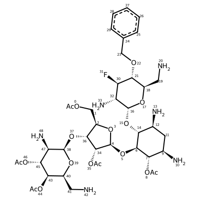 CC(=O)OC[C@H]1O[C@@H](O[C@@H]2[C@@H](OC(C)=O)[C@H](N)C[C@H](N)[C@H]2O[C@H]2O[C@H](CN)[C@@H](OCc3ccccc3)[C@H](F)[C@H]2N)[C@H](OC(C)=O)[C@@H]1O[C@H]1O[C@@H](CN)[C@@H](OC(C)=O)[C@H](OC(C)=O)[C@H]1N